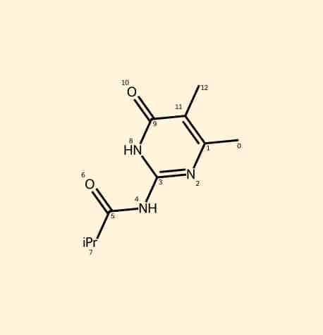 Cc1nc(NC(=O)C(C)C)[nH]c(=O)c1C